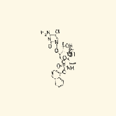 CC(C)OC(=O)[C@@H](C)NP(=O)(OC[C@H]1O[C@@H](n2cc(Cl)c(N)nc2=O)[C@](C)(O)[C@@H]1O)Oc1cccc2ccccc12